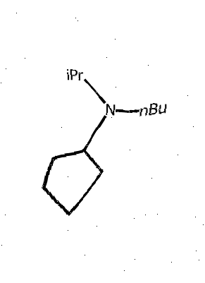 [CH2]CCCN(C(C)C)C1CCCC1